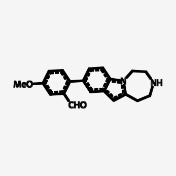 COc1ccc(-c2ccc3c(c2)cc2n3CCNCC2)c(C=O)c1